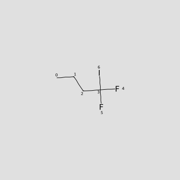 CCCC(F)(F)I